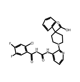 O=C(NC(=O)c1cc(F)c(F)cc1Cl)Nc1cccnc1N1CCC(C(=O)O)(c2ccccc2)CC1